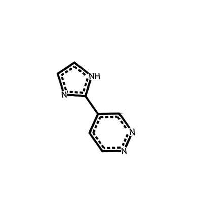 [c]1nnccc1-c1ncc[nH]1